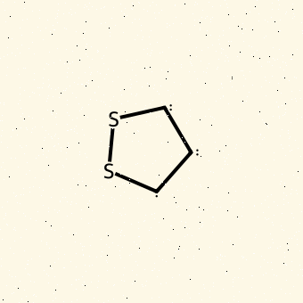 [C]1[C]SS[CH]1